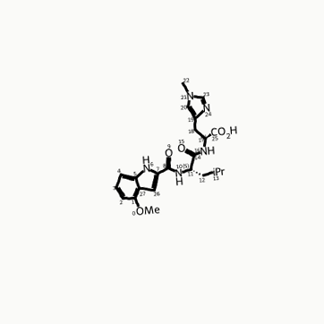 COc1cccc2[nH]c(C(=O)N[C@@H](CC(C)C)C(=O)N[C@@H](Cc3cn(C)cn3)C(=O)O)cc12